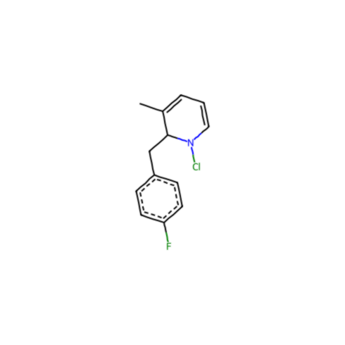 CC1=CC=CN(Cl)C1Cc1ccc(F)cc1